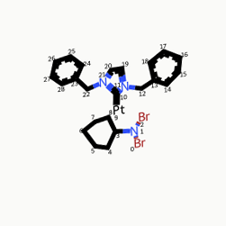 BrN(Br)C1CCCCC1.[Pt]=[c]1n(Cc2ccccc2)ccn1Cc1ccccc1